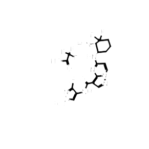 CC(C)(C)n1cc(NC(=O)c2cnn3ccc(N[C@@H]4CCCC(F)(F)[C@@H]4N)nc23)c(C(F)(F)F)n1.O=C(O)C(F)(F)F